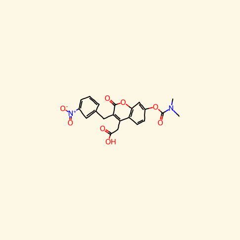 CN(C)C(=O)Oc1ccc2c(CC(=O)O)c(Cc3cccc([N+](=O)[O-])c3)c(=O)oc2c1